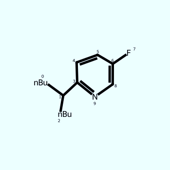 CCCCC(CCCC)c1ccc(F)cn1